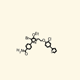 CCOc1c(Br)c(-c2ccc(C(N)=O)cc2)nn1CCOc1ccc(-c2cccs2)cc1Cl